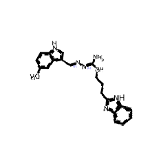 N/C(=N\N=C\c1c[nH]c2ccc(O)cc12)NCCCc1nc2ccccc2[nH]1